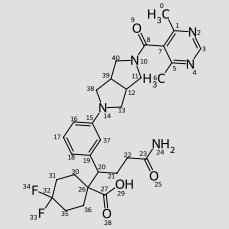 Cc1ncnc(C)c1C(=O)N1CC2CN(c3cccc(C(CCC(N)=O)C4(C(=O)O)CCC(F)(F)CC4)c3)CC2C1